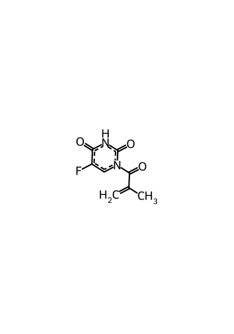 C=C(C)C(=O)n1cc(F)c(=O)[nH]c1=O